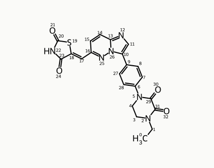 CCN1CCN(c2ccc(-c3cnc4ccc(/C=C5\SC(=O)NC5=O)nn34)cc2)C(=O)C1=O